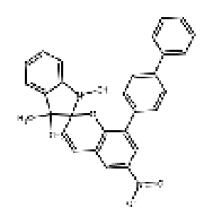 CN1c2ccccc2C(C)(C)C12C=Cc1cc([N+](=O)[O-])cc(-c3ccc(-c4ccccc4)cc3)c1O2